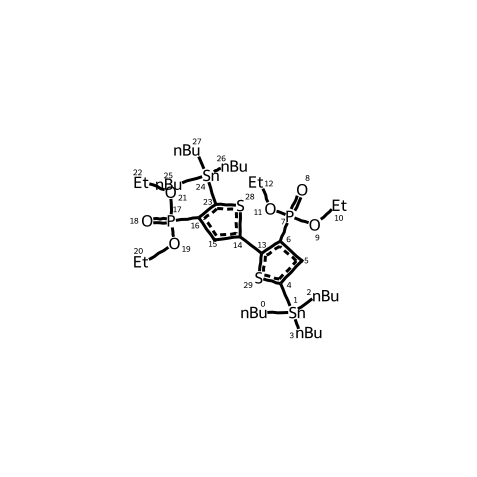 CCC[CH2][Sn]([CH2]CCC)([CH2]CCC)[c]1cc(P(=O)(OCC)OCC)c(-c2cc(P(=O)(OCC)OCC)[c]([Sn]([CH2]CCC)([CH2]CCC)[CH2]CCC)s2)s1